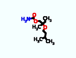 CCC(C)(COC(N)=O)OCCC(C)C